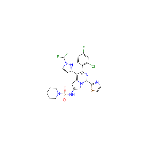 O=S(=O)(N[C@H]1CC2=C(c3ccn(C(F)F)n3)[C@H](c3ccc(F)cc3Cl)N=C(c3nccs3)N2C1)N1CCCCC1